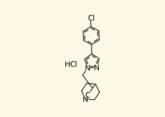 Cl.Clc1ccc(-c2cnn(CC3CN4CCC3CC4)c2)cc1